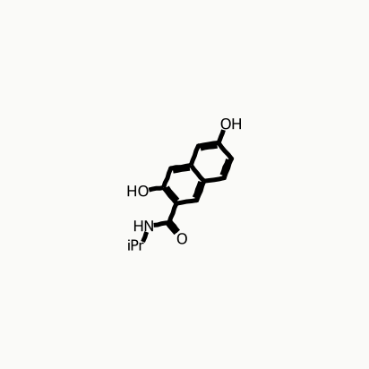 CC(C)NC(=O)c1cc2ccc(O)cc2cc1O